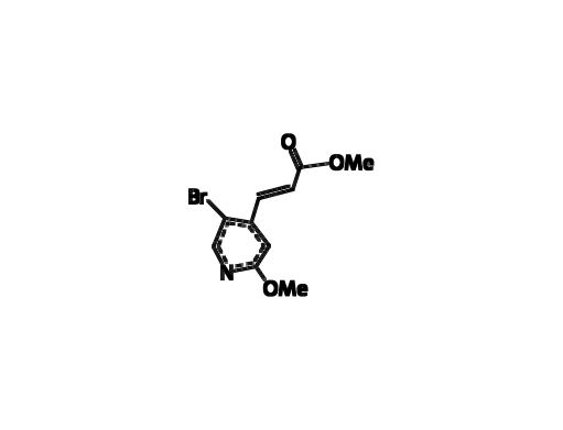 COC(=O)/C=C/c1cc(OC)ncc1Br